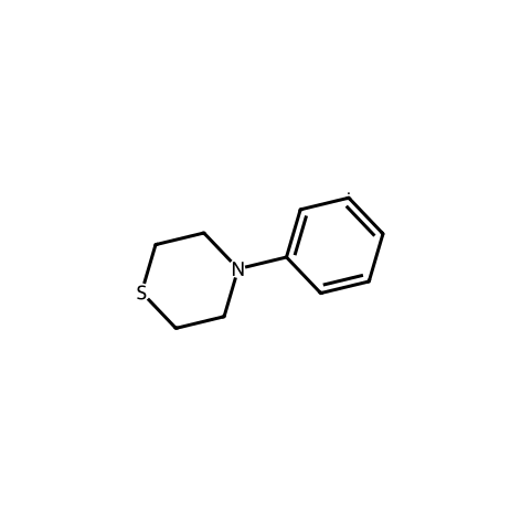 [c]1cccc(N2CCSCC2)c1